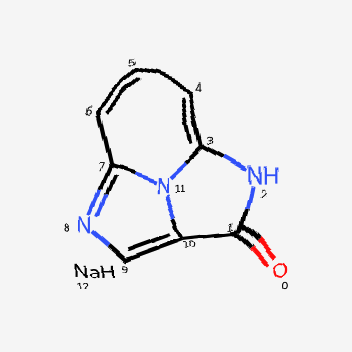 O=c1[nH]c2cccc3ncc1n32.[NaH]